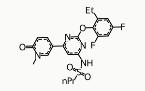 CCCS(=O)(=O)Nc1cc(-c2ccc(=O)n(C)c2)nc(Oc2c(F)cc(F)cc2CC)n1